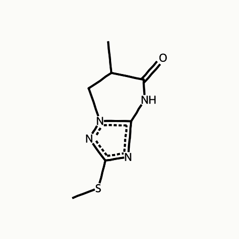 CSc1nc2n(n1)CC(C)C(=O)N2